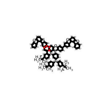 CC(C)(C)c1ccc(N(c2ccc(C(C)(C)C)cc2)c2ccc3c(c2)N(c2ccc(C(C)(C)C)cc2-c2ccccc2)c2cc(-c4ccc5c(c4)sc4ccc6oc7ccccc7c6c45)cc4c2B3c2ccc(-c3ccc5c(c3)oc3ccc6oc7ccccc7c6c35)cc2O4)cc1